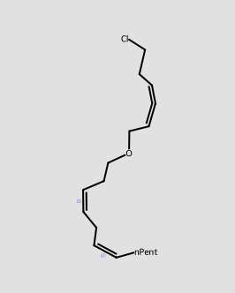 CCCCC/C=C\C/C=C\CCOCC=C=CCCCl